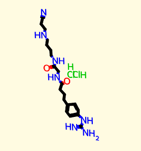 Cl.Cl.N#CCCNCCCCNC(=O)CNC(=O)CCCc1ccc(NC(=N)N)cc1